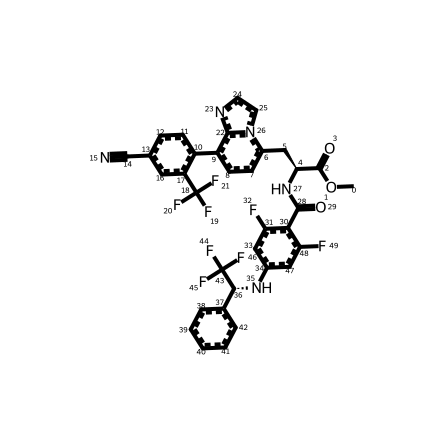 COC(=O)[C@H](Cc1ccc(-c2ccc(C#N)cc2C(F)(F)F)c2nccn12)NC(=O)c1c(F)cc(N[C@H](c2ccccc2)C(F)(F)F)cc1F